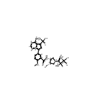 COc1ccc(-c2cc(C(F)(F)F)c3c(N)ncnn23)cc1C(=O)N[C@@H]1CN(C(=O)C(C)(O)C(F)(F)F)C[C@@H]1F